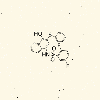 O=S(=O)(Nc1cc(Sc2ccccc2)c(O)c2ccccc12)c1cc(F)ccc1F